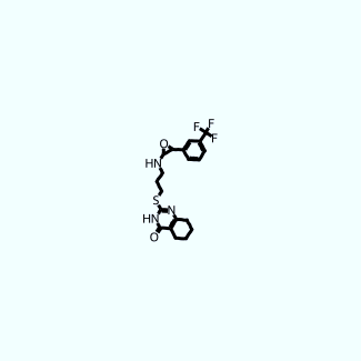 O=c1[nH]c(SCCCNC2OC2c2cccc(C(F)(F)F)c2)nc2c1CCCC2